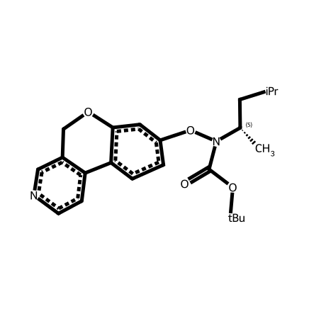 CC(C)C[C@H](C)N(Oc1ccc2c(c1)OCc1cnccc1-2)C(=O)OC(C)(C)C